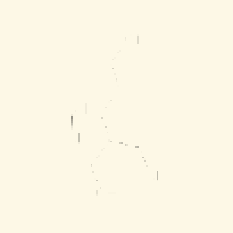 BO.OCCCC(CO)CO